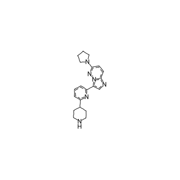 c1cc(-c2cnc3ccc(N4CCCC4)nn23)nc(C2CCNCC2)c1